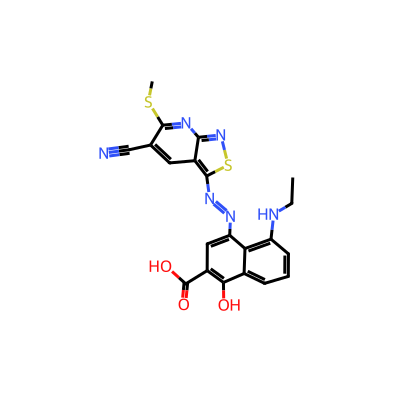 CCNc1cccc2c(O)c(C(=O)O)cc(/N=N/c3snc4nc(SC)c(C#N)cc34)c12